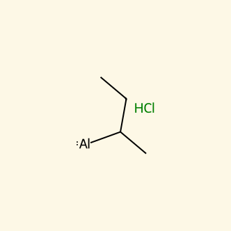 CC[CH](C)[Al].Cl